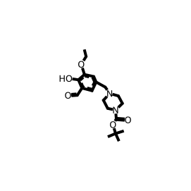 CCOc1cc(CN2CCN(C(=O)OC(C)(C)C)CC2)cc(C=O)c1O